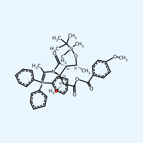 COc1ccc(C(=O)OC(=O)[C@H](C)[C@@H]2[C@@H]([C@@H](C)O[Si](C)(C)C(C)(C)C)C(=O)N2C(C)=P(c2ccccc2)(c2ccccc2)c2ccccc2)cc1